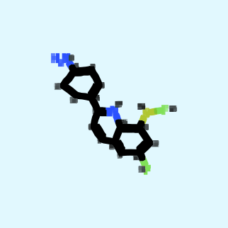 NC1=CC=C(c2ccc3cc(F)cc(SF)c3n2)CC1